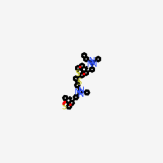 CC1(C)c2ccccc2C2(c3ccccc3Sc3ccccc32)c2cccc(-c3ccc(-c4nc(-c5ccccc5)nc(-c5ccc6c(c5)sc5c(-c7cccc8c7Sc7ccccc7C87c8ccccc8C(C)(C)c8c(-c9cccc(-c%10nc(-c%11ccccc%11)nc(-c%11ccc%12ccccc%12c%11)n%10)c9)cccc87)cccc56)n4)cc3)c21